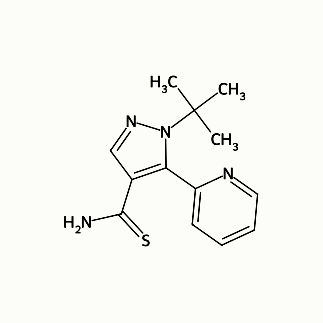 CC(C)(C)n1ncc(C(N)=S)c1-c1ccccn1